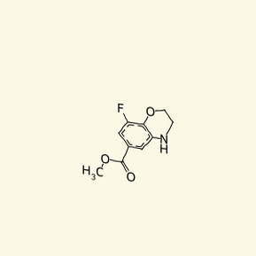 COC(=O)c1cc(F)c2c(c1)NCCO2